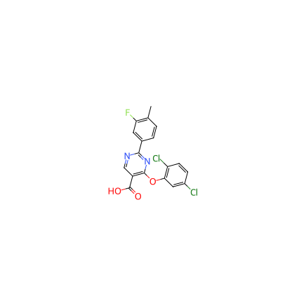 Cc1ccc(-c2ncc(C(=O)O)c(Oc3cc(Cl)ccc3Cl)n2)cc1F